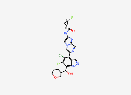 O=C(Nc1cn2cc(-c3c(Cl)c(F)c(C(O)C4CCCOC4)c4[nH]ncc34)ncc2n1)[C@@H]1C[C@@H]1F